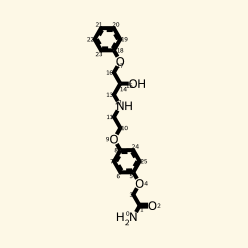 NC(=O)COc1ccc(OCCNCC(O)COc2ccccc2)cc1